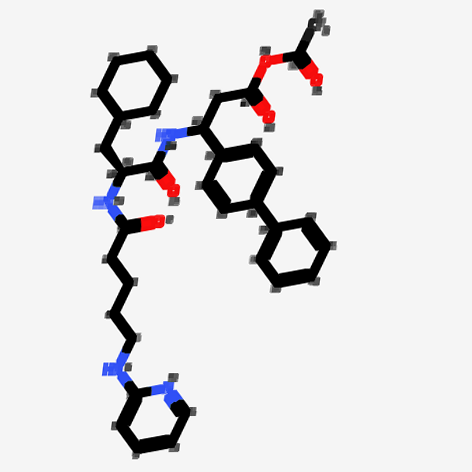 O=C(CCCCNc1ccccn1)N[C@@H](CC1CCCCC1)C(=O)NC(CC(=O)OC(=O)C(F)(F)F)c1ccc(-c2ccccc2)cc1